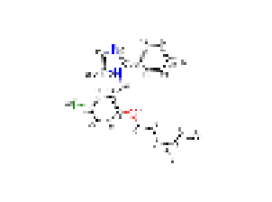 CC(=O)C[C@H](C)CCCOc1ccc(F)cc1Cn1c(C)cnc1-c1ccc(C)cc1